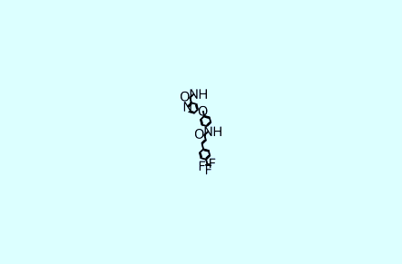 CNC(=O)c1cc(Oc2ccc(NC(=O)C=Cc3ccc(C(F)(F)F)cc3)cc2)ccn1